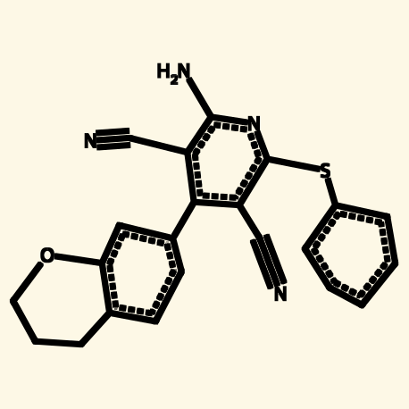 N#Cc1c(N)nc(Sc2ccccc2)c(C#N)c1-c1ccc2c(c1)OCCC2